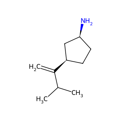 C=C(C(C)C)[C@@H]1CC[C@H](N)C1